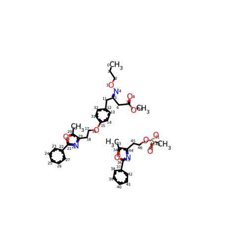 CCCO/N=C(/CC(=O)OC)Cc1ccc(OCCc2nc(-c3ccccc3)oc2C)cc1.Cc1oc(-c2ccccc2)nc1CCOS(C)(=O)=O